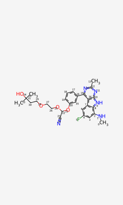 CNc1cc(F)cc2c1[nH]c1nc(C)nc(-c3cccc(OC(C#N)OCCOCCC(C)(C)O)c3)c12